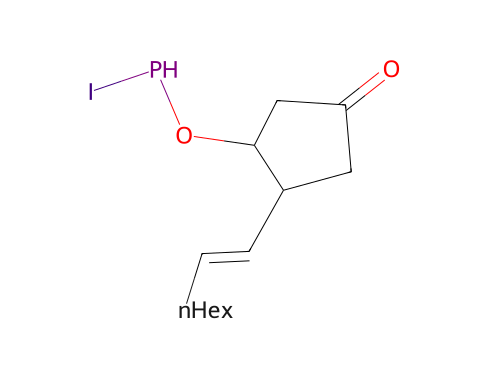 CCCCCC/C=C/C1CC(=O)CC1OPI